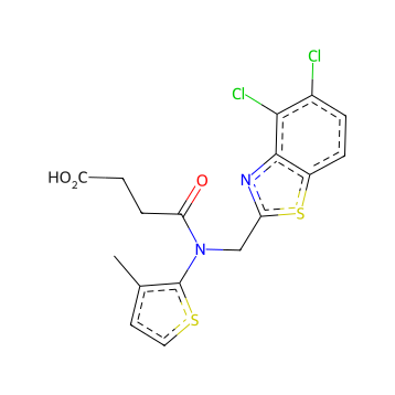 Cc1ccsc1N(Cc1nc2c(Cl)c(Cl)ccc2s1)C(=O)CCC(=O)O